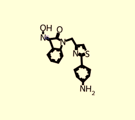 Nc1ccc(-c2nc(CN3C(=O)/C(=N\O)c4ccccc43)cs2)cc1